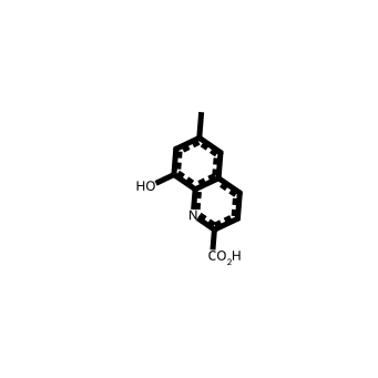 Cc1cc(O)c2nc(C(=O)O)ccc2c1